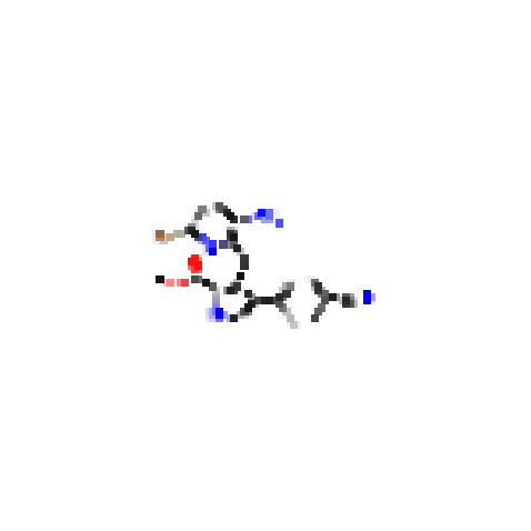 COC(=O)c1[nH]cc(-c2ccc(C#N)cc2)c1Cc1nc(Br)ccc1N